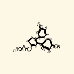 CCCCCCCCCOc1ccc(-c2cccc(F)c2)c(-c2ccc(C#N)cc2)c1